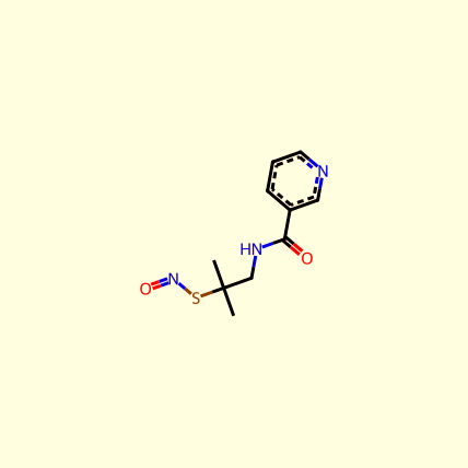 CC(C)(CNC(=O)c1cccnc1)SN=O